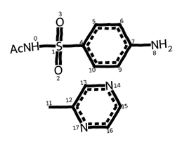 CC(=O)NS(=O)(=O)c1ccc(N)cc1.Cc1cnccn1